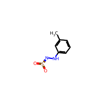 Cc1cccc(NN=S(=O)=O)c1